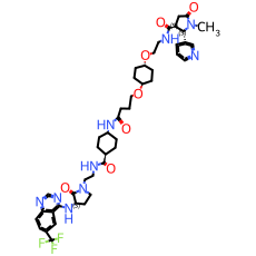 CN1C(=O)C[C@H](C(=O)NCCO[C@H]2CC[C@H](OCCCC(=O)N[C@H]3CC[C@H](C(=O)NCCN4CC[C@H](Nc5ncnc6ccc(C(F)(F)F)cc56)C4=O)CC3)CC2)[C@H]1c1cccnc1